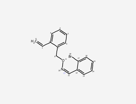 C=Cc1ccccc1CO/N=[C]\c1ccccc1Br